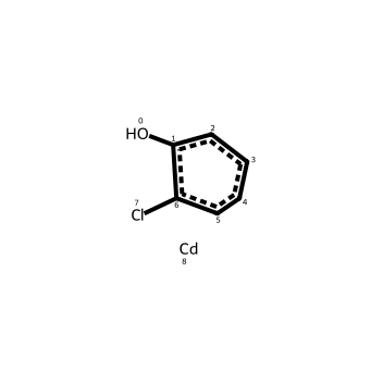 Oc1ccccc1Cl.[Cd]